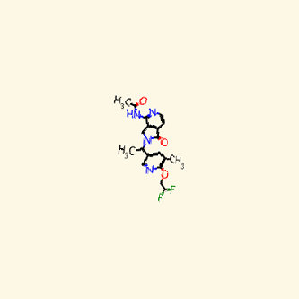 CC(=O)Nc1nccc2c1CN(C(C)c1cnc(OCC(F)F)c(C)c1)C2=O